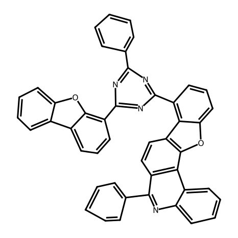 c1ccc(-c2nc(-c3cccc4c3oc3ccccc34)nc(-c3cccc4oc5c(ccc6c(-c7ccccc7)nc7ccccc7c65)c34)n2)cc1